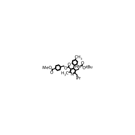 COC(=O)c1ccc(COC(=O)c2c(C)nc(CC(C)C)c(CNC(=O)OC(C)(C)C)c2-c2ccc(C)cc2)cc1